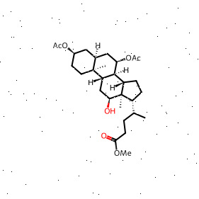 COC(=O)CCC(C)[C@H]1CC[C@H]2[C@@H]3[C@H](OC(C)=O)C[C@@H]4C[C@H](OC(C)=O)CC[C@]4(C)[C@H]3C[C@H](O)[C@]12C